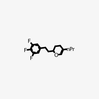 CCCC1=COC(CCc2cc(F)c(F)c(F)c2)CC1